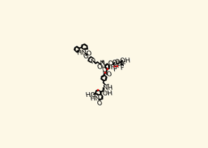 C[C@H](Cc1ccc(NC(=O)c2cccc(N(C)C(=O)CCN3CCC(OC(=O)Nc4ccccc4-c4ccccc4)CC3)c2)cc1)NC[C@H](O)c1ccc(O)c2[nH]c(=O)ccc12.O=C(O)C(F)(F)F.O=C(O)C(F)(F)F